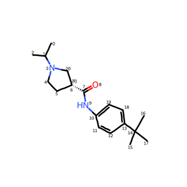 CC(C)N1CC[C@@H](C(=O)Nc2ccc(C(C)(C)C)cc2)C1